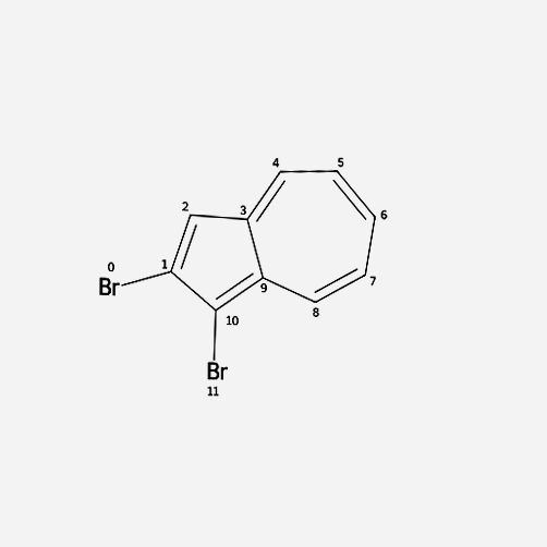 Brc1cc2cccccc-2c1Br